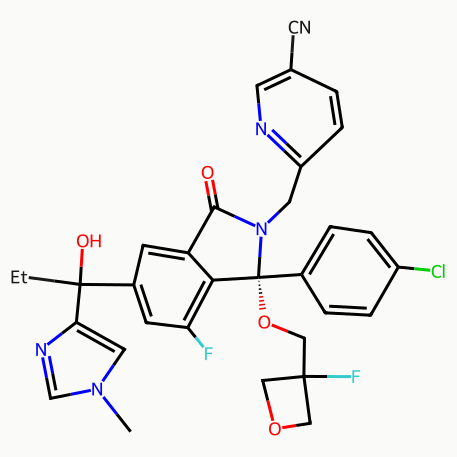 CCC(O)(c1cc(F)c2c(c1)C(=O)N(Cc1ccc(C#N)cn1)[C@@]2(OCC1(F)COC1)c1ccc(Cl)cc1)c1cn(C)cn1